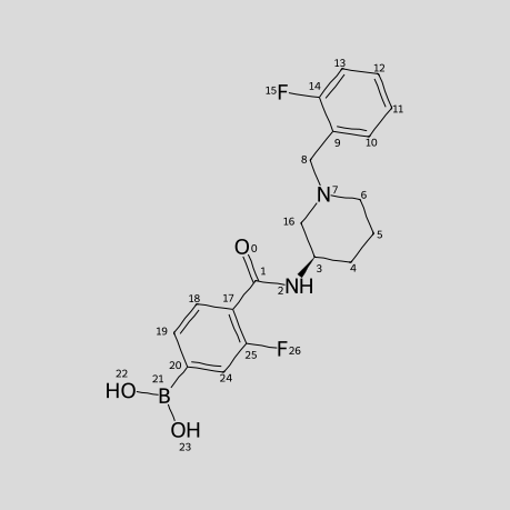 O=C(N[C@@H]1CCCN(Cc2ccccc2F)C1)c1ccc(B(O)O)cc1F